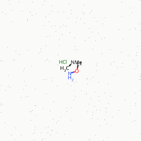 CCON.CNC.Cl